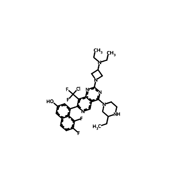 CCC1CN(c2nc(N3CC(N(CC)CC)C3)nc3c(C(F)(F)Cl)c(-c4cc(O)cc5ccc(F)c(F)c45)ncc23)CCN1